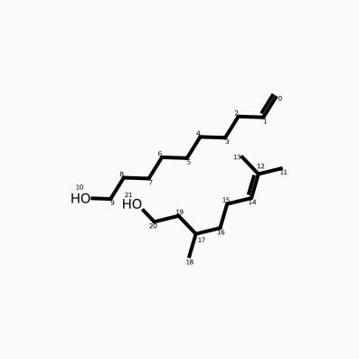 C=CCCCCCCCCO.CC(C)=CCCC(C)CCO